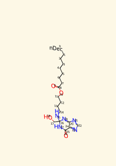 CCCCCCCCCCCCCCCCCC(=O)OCCCCNC1(CO)N=C2N=CN=C2C(=O)N1